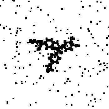 NNC(=O)c1ccc(CN(c2ccc(F)c(Cl)c2)S(=O)(=O)C2CCN(C3COC3)CC2)nc1